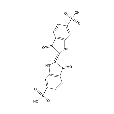 O=C1/C(=C2\Nc3cc(S(=O)(=O)O)ccc3C2=O)Nc2cc(S(=O)(=O)O)ccc21